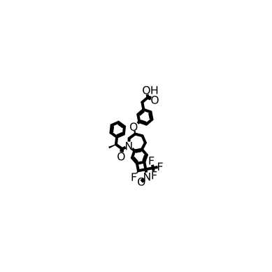 C[C@H](C(=O)N1C[C@@H](Oc2cccc(CC(=O)O)c2)CCc2cc3c(cc21)[C@@H](F)C3(N=O)C(F)(F)F)c1ccccc1